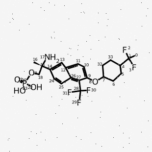 CC(F)(F)C1CCC(Oc2ccc3cc([C@@](C)(N)COP(=O)(O)O)ccc3c2C(F)(F)F)CC1